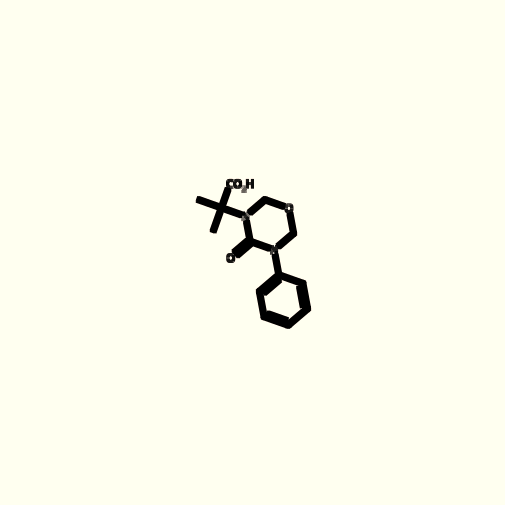 CC(C)(C(=O)O)N1COCN(c2ccccc2)C1=O